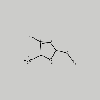 BC1OC(CI)C=C1F